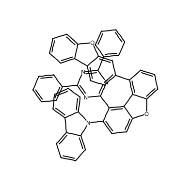 c1ccc(-c2nc(-c3ccccc3)nc(-c3c(-n4c5ccccc5c5ccccc54)ccc4oc5cccc(-c6ccc7c(c6)oc6ccccc67)c5c34)n2)cc1